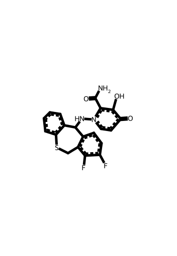 NC(=O)c1c(O)c(=O)ccn1NC1c2ccccc2SCc2c1ccc(F)c2F